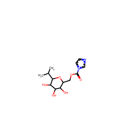 CC(C)C1OC(COC(=O)n2ccnc2)C(O)C(O)C1O